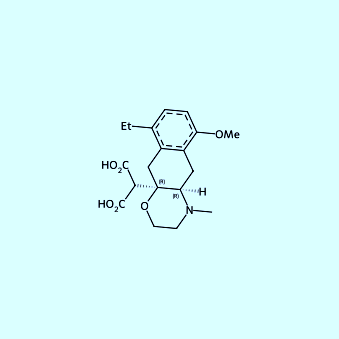 CCc1ccc(OC)c2c1C[C@]1(C(C(=O)O)C(=O)O)OCCN(C)[C@@H]1C2